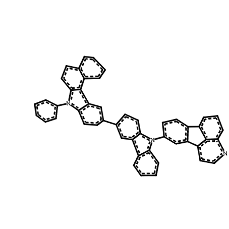 c1ccc(-n2c3ccc(-c4ccc5c(c4)c4ccccc4n5-c4ccc5c(c4)-c4ccnc6cccc-5c46)cc3c3c4ccccc4ccc32)cc1